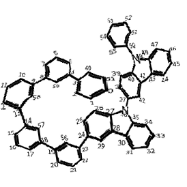 c1ccc(-c2cccc(-c3cccc(-c4cccc(-c5cccc(-c6ccc7c(c6)c6ccccc6n7-c6ccc7c(c6)c6ccccc6n7-c6ccccc6)c5)c4)c3)c2)cc1